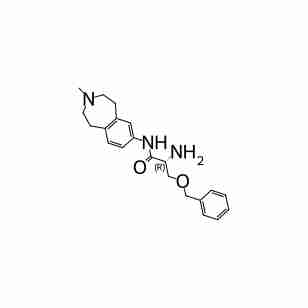 CN1CCc2ccc(NC(=O)[C@H](N)COCc3ccccc3)cc2CC1